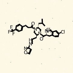 CC(C)C[C@@H]1CN(C(=O)[C@H](N)Cc2ccc(Cl)cc2Cl)[C@@H](CCCNc2ccon2)CN1C(=O)CCc1ccc(C(F)(F)F)cc1